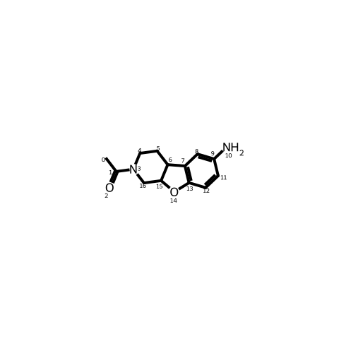 CC(=O)N1CCC2c3cc(N)ccc3OC2C1